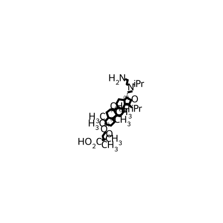 CC(C)C1=C2C(CC[C@]3(C)[C@@H]2CCC2[C@@]4(C)CC[C@H](OC(=O)CC(C)(C)C(=O)O)C(C)(C)C4CC[C@]23C)[C@H](CCN(CCN)C(C)C)C1=O